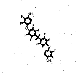 CC(C)(c1c(F)c(F)c(Oc2ccc(N)c(F)c2F)c(F)c1F)c1c(F)c(F)c(Oc2ccc(N)c(F)c2F)c(F)c1F